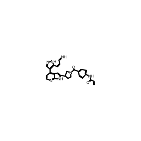 C=CC(=O)Nc1ccc(C(=O)N2CCC(c3cc4c(-c5cn[nH]c5/C=C\C=N)ccnc4[nH]3)C2)cc1